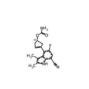 Cc1[nH]c2c(C#N)cc(F)c(C3=CC[C@@H](OC(N)=O)C3)c2c1C